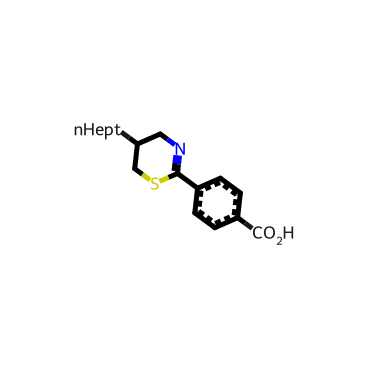 CCCCCCCC1CN=C(c2ccc(C(=O)O)cc2)SC1